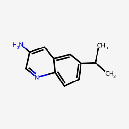 CC(C)c1ccc2ncc(N)cc2c1